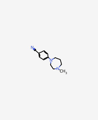 CN1CCCN(c2ccc(C#N)cc2)CC1